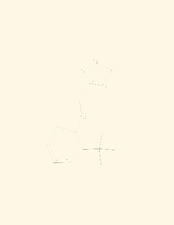 Cc1nnc(CNc2ccccc2C(C)(C)C)n1C